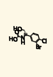 O=C(O)N[C@H](CO)c1ccc(Cl)c(Br)c1